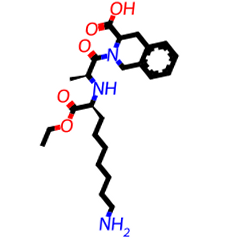 CCOC(=O)[C@H](CCCCCCCN)N[C@@H](C)C(=O)N1Cc2ccccc2CC1C(=O)O